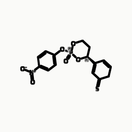 O=[N+]([O-])c1ccc(O[P@]2(=O)OCC[C@@H](C3=CC(=S)CC=C3)O2)cc1